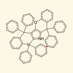 c1ccc(C2(c3ccccc3)c3ccccc3Oc3c2[nH]c2c3C(c3ccccc3)(c3ccccc3)c3ccccc3[Si]2(c2ccccc2)c2ccccc2)cc1